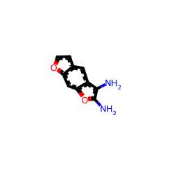 Nc1oc2cc3occc3cc2c1N